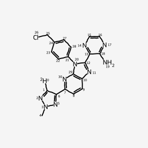 [2H]c1nn(C)nc1-c1ccc2nc(-c3nccnc3N)n(-c3ccc(CCl)cc3)c2n1